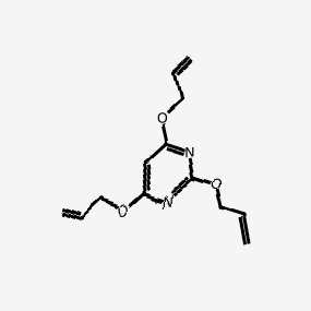 C=CCOc1cc(OCC=C)nc(OCC=C)n1